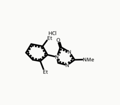 CCc1cccc(CC)c1-n1cnc(NC)nc1=O.Cl